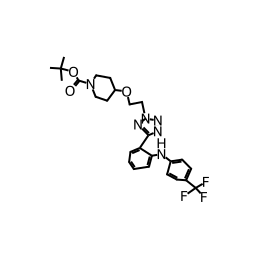 CC(C)(C)OC(=O)N1CCC(OCCn2nnc(-c3ccccc3Nc3ccc(C(F)(F)F)cc3)n2)CC1